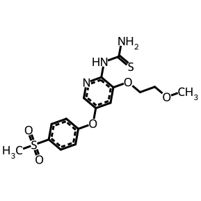 COCCOc1cc(Oc2ccc(S(C)(=O)=O)cc2)cnc1NC(N)=S